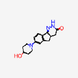 O=C1CC2Cc3cc(N4CCC(O)CC4)ccc3C2=NN1